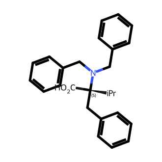 CC(C)[C@@](Cc1ccccc1)(C(=O)O)N(Cc1ccccc1)Cc1ccccc1